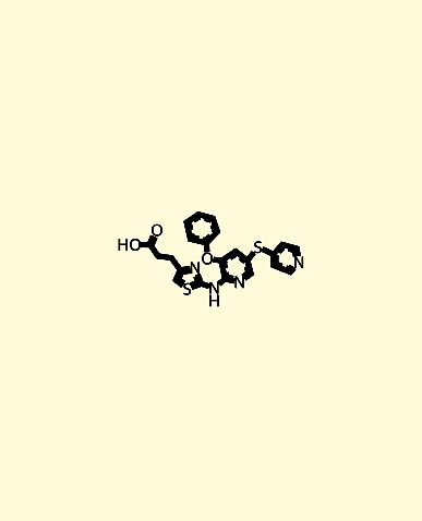 O=C(O)CCc1csc(Nc2ncc(Sc3ccncc3)cc2Oc2ccccc2)n1